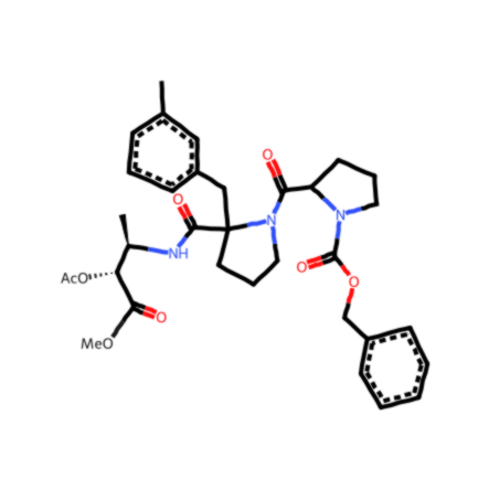 COC(=O)[C@H](OC(C)=O)[C@@H](C)NC(=O)C1(Cc2cccc(C)c2)CCCN1C(=O)C1CCCN1C(=O)OCc1ccccc1